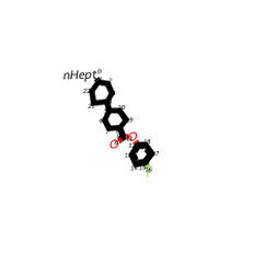 CCCCCCCC1CCC(C2CCC(C(=O)Oc3ccc(F)cc3)CC2)CC1